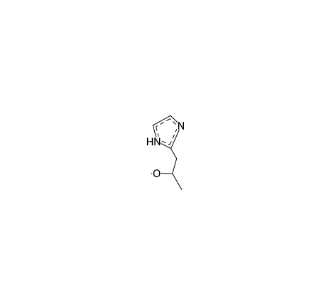 CC([O])Cc1ncc[nH]1